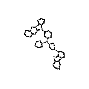 c1ccc(N(c2ccc(-c3cccc4c3oc3ccncc34)cc2)c2cccc(-n3c4ccccc4c4cc5ccccc5cc43)c2)cc1